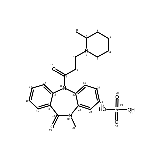 CC1CCCCN1CCC(=O)N1c2ccccc2C(=O)N(C)c2ccccc21.O=S(=O)(O)O